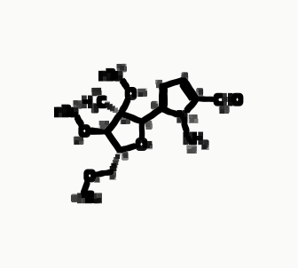 CCCCOC[C@H]1OC(c2ccc(C=O)n2N)[C@](C)(OCCCC)[C@@H]1OCCCC